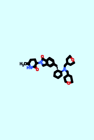 C=C1CCC(N2Cc3cc(C[C@H]4CCCC[C@@H]4N(CC4CCOCC4)CC4CCOCC4)ccc3C2=O)C(=O)N1